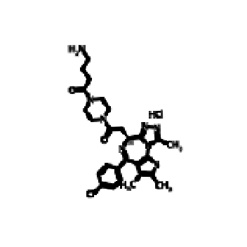 Cc1sc2c(c1C)C(c1ccc(Cl)cc1)=N[C@@H](CC(=O)N1CCN(C(=O)CCCN)CC1)c1nnc(C)n1-2.Cl